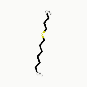 CCCCCCCSCCCC